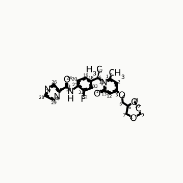 Cc1cc(OCC2COCCO2)cc(=O)n1[C@H](C)c1ccc(NC(=O)c2cnccn2)c(F)c1